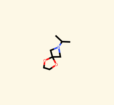 CC(C)N1CC2(C1)OCCO2